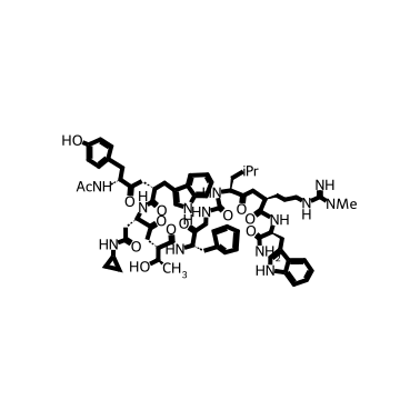 CNC(=N)NCCC[C@H](CC(=O)[C@H](CC(C)C)NC(=O)NCC(=O)[C@H](Cc1ccccc1)NC(=O)[C@@H](CC(=O)[C@H](CC(=O)NC1CC1)NC(=O)[C@H](CC(=O)[C@@H](Cc1ccc(O)cc1)NC(C)=O)Cc1c[nH]c2ccccc12)[C@@H](C)O)C(=O)N[C@@H](Cc1c[nH]c2ccccc12)C(N)=O